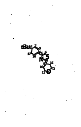 CC(C)(C)c1ccc(-c2csc([C]3CCOCC3)n2)cc1